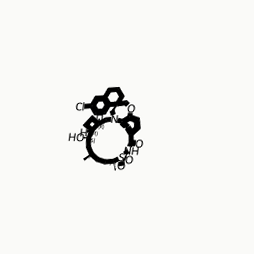 C[C@@H]1CC[C@@H](C)S(=O)(=O)NC(=O)c2ccc3c(c2)N(C[C@@H]2CC[C@H]2[C@@H](O)C1)C[C@@]1(CCCc2cc(Cl)ccc21)CO3